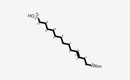 CCCCCCCCCCC/C=C/CCCCCCCCCC(=O)O